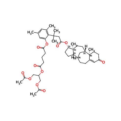 CC(=O)OCC(COC(C)=O)OC(=O)CCCC(=O)Oc1cc(C)cc(C)c1C(C)(C)CC(=O)O[C@H]1CC[C@H]2[C@@H]3CCC4=CC(=O)CC[C@]4(C)[C@@H](CC[C@]12C)C3